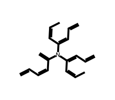 C=C/C=C\C(=C)N(C(/C=C\C)=C/C=C)C(/C=C\C)=C/C=C